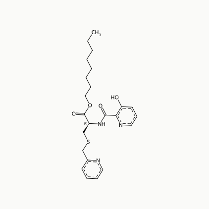 CCCCCCCCOC(=O)[C@H](CSCc1ccccn1)NC(=O)c1ncccc1O